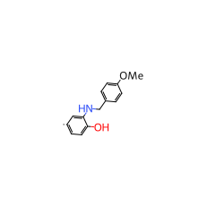 COc1ccc(CNc2c[c]ccc2O)cc1